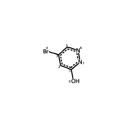 Oc1cc(Br)cnn1